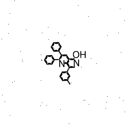 Cc1cccc(-c2cnc(O)c3cc(-c4ccccc4)c(-c4cc[c]cc4)nc23)c1